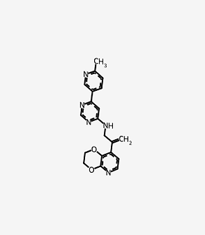 C=C(CNc1cc(-c2ccc(C)nc2)ncn1)c1ccnc2c1OCCO2